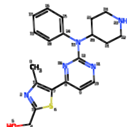 Cc1nc(CO)sc1-c1ccnc(N(c2ccccc2)C2CCNCC2)n1